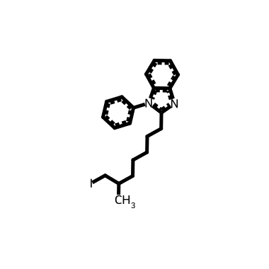 CC(CI)CCCCCc1nc2ccccc2n1-c1ccccc1